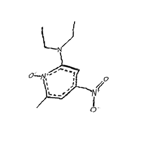 CCN(CC)c1cc([N+](=O)[O-])cc(C)[n+]1[O-]